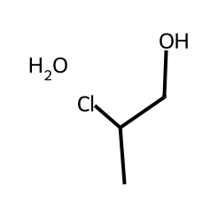 CC(Cl)CO.O